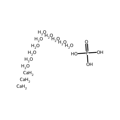 O.O.O.O.O.O.O.O.O.O.O=P(O)(O)O.[CaH2].[CaH2].[CaH2]